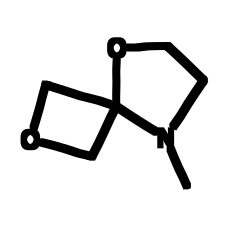 CN1CCOC12COC2